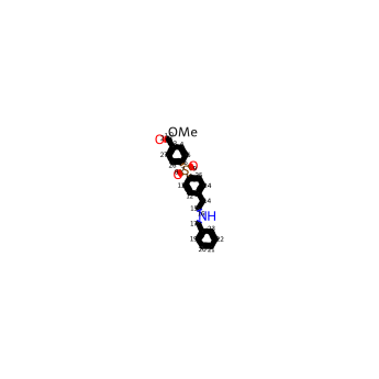 COC(=O)c1ccc(S(=O)(=O)c2ccc(CCNCc3ccccc3)cc2)cc1